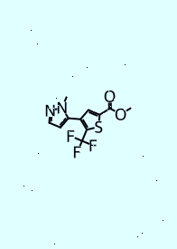 COC(=O)c1cc(-c2ccnn2C)c(C(F)(F)F)s1